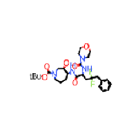 CC(C)(C)OC(=O)N1CCCC(NC(=O)C(CC(F)(F)Cc2ccccc2)NC(=O)N2CCOCC2)C(=O)C1